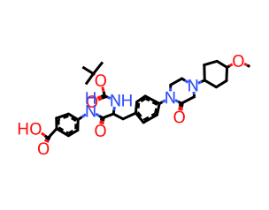 COC1CCC(N2CCN(c3ccc(CC(NC(=O)OC(C)(C)C)C(=O)Nc4ccc(C(=O)O)cc4)cc3)C(=O)C2)CC1